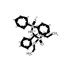 CCOP(=O)(OCC)[C@@](C)(NP(=S)(c1ccccc1)c1ccccc1)c1ccccc1